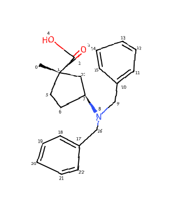 C[C@]1(C(=O)O)CC[C@H](N(Cc2ccccc2)Cc2ccccc2)C1